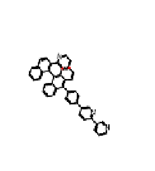 c1ccc(-c2ccc3ccccc3c2-c2c3ccccc3c(-c3ccc(-c4ccc(-c5cccnc5)nc4)cc3)c3ccccc23)nc1